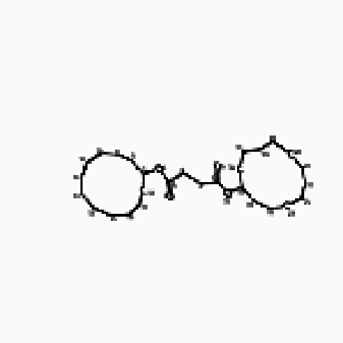 O=C(CCC(=O)OC1CCCCCCCCCCC1)OC1CCCCCCCCCCC1